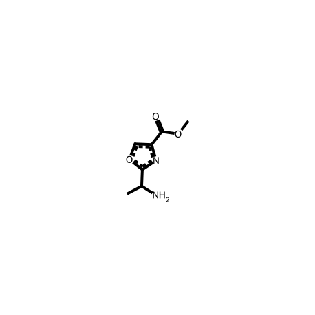 COC(=O)c1coc(C(C)N)n1